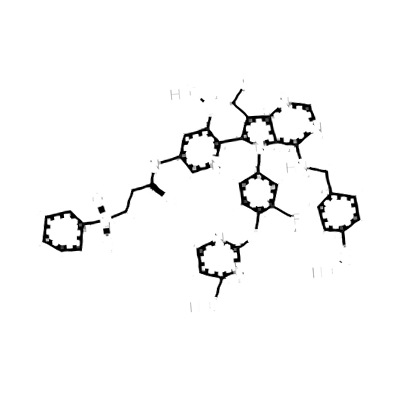 CCc1c(-c2ncc(NC(=O)CCS(=O)(=O)c3ccccc3)cc2OC)n(-c2ccc(Oc3nccc(C)n3)c(F)c2)c2c(NCc3ccc(OC)cc3)ncnc12